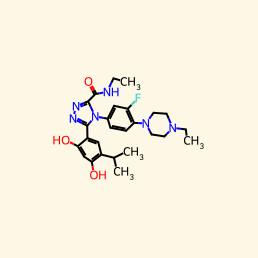 CCNC(=O)c1nnc(-c2cc(C(C)C)c(O)cc2O)n1-c1ccc(N2CCN(CC)CC2)c(F)c1